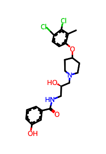 Cc1c(OC2CCN(C[C@H](O)CNC(=O)c3cccc(O)c3)CC2)ccc(Cl)c1Cl